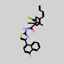 C=C/C=C\C1=CC2NC(=S)C1CC2(C)C(=O)Nc1nc(-c2ccc(F)c3ccccc23)cs1